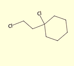 ClCCC1(Cl)CCCCC1